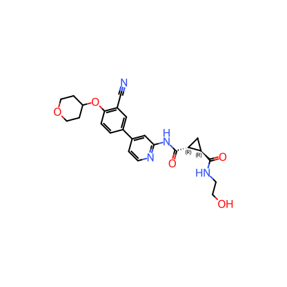 N#Cc1cc(-c2ccnc(NC(=O)[C@@H]3C[C@H]3C(=O)NCCO)c2)ccc1OC1CCOCC1